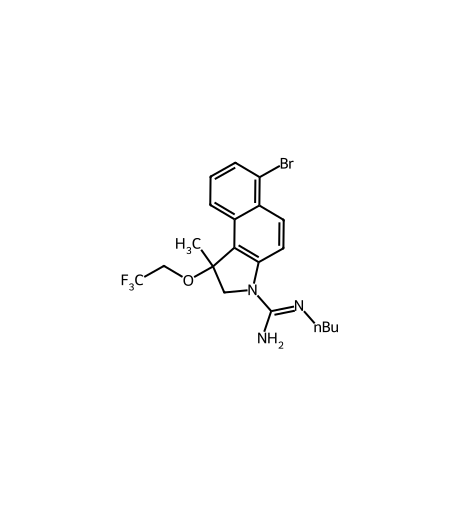 CCCCN=C(N)N1CC(C)(OCC(F)(F)F)c2c1ccc1c(Br)cccc21